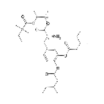 CCC(C)CC(=O)Oc1ccc(C[C@H](N)C(=O)O[C@@H](C)C(C)OC(=O)C(C)(C)CC)cc1OC(=O)CC(C)CC